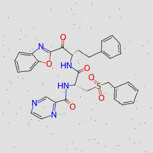 O=C(N[C@@H](CS(=O)(=O)Cc1ccccc1)C(=O)N[C@@H](CCc1ccccc1)C(=O)c1nc2ccccc2o1)c1cnccn1